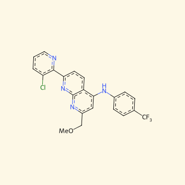 COCc1cc(Nc2ccc(C(F)(F)F)cc2)c2ccc(-c3ncccc3Cl)nc2n1